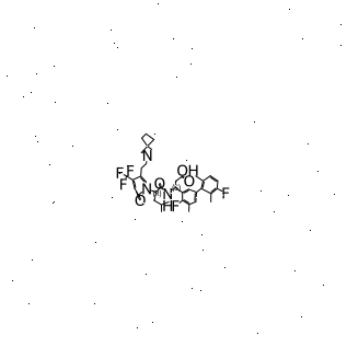 Cc1cc(-c2c(C)ccc(F)c2C)cc([C@H](CC(=O)O)NC(=O)[C@@H](CC(C)C)n2cc(CCN3CC4(CCC4)C3)c(C(F)(F)F)cc2=O)c1F